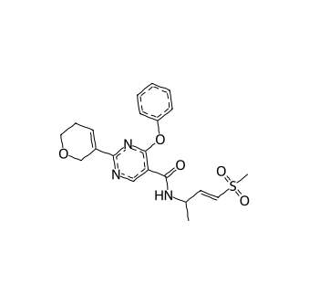 CC(C=CS(C)(=O)=O)NC(=O)c1cnc(C2=CCCOC2)nc1Oc1ccccc1